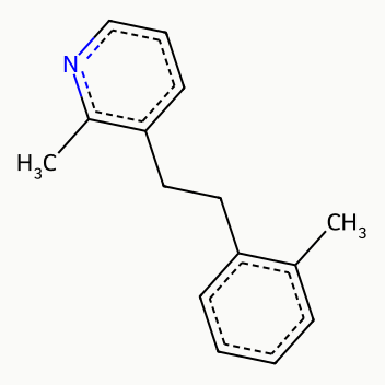 Cc1ccccc1CCc1cccnc1C